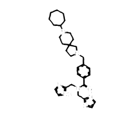 O=C(c1ccc(CN2CCC3(CCN(C4CCCCCC4)CC3)C2)cc1)N(Cc1ncc[nH]1)Cc1ncc[nH]1